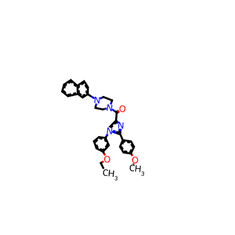 CCOc1cccc(-n2cc(C(=O)N3CCN(c4ccc5ccccc5c4)CC3)nc2-c2ccc(OC)cc2)c1